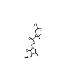 C#CCN1C(=O)CN(COC(=O)C2C(C=C(Cl)Cl)C2(C)C)C1=O